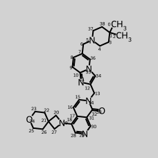 CC1(C)CCN(Cc2ccc3nc(Cn4ccc5c(N6CC7(CCOCC7)C6)cncc5c4=O)cn3c2)CC1